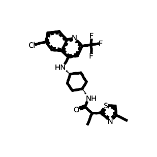 Cc1csc(C(C)C(=O)N[C@H]2CC[C@@H](Nc3cc(C(F)(F)F)nc4ccc(Cl)cc34)CC2)n1